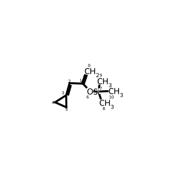 C=C(C=C1CC1)O[Si](C)(C)C